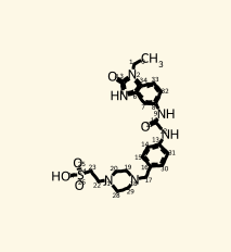 CCn1c(=O)[nH]c2cc(NC(=O)Nc3ccc(CN4CCN(CCS(=O)(=O)O)CC4)cc3)ccc21